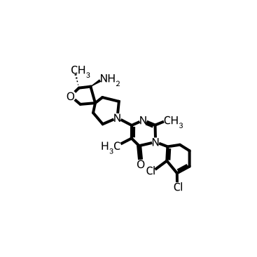 Cc1c(N2CCC3(CC2)CO[C@H](C)[C@H]3N)nc(C)n(C2=C(Cl)C(Cl)=CCC2)c1=O